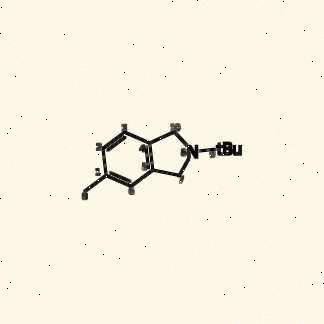 Cc1ccc2c(c1)CN(C(C)(C)C)C2